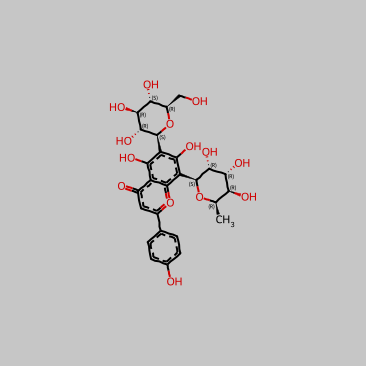 C[C@H]1O[C@@H](c2c(O)c([C@@H]3O[C@H](CO)[C@@H](O)[C@H](O)[C@H]3O)c(O)c3c(=O)cc(-c4ccc(O)cc4)oc23)[C@H](O)[C@H](O)[C@H]1O